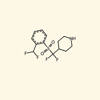 O=S(=O)(c1ccccc1C(F)F)C(F)(F)C1CCNCC1